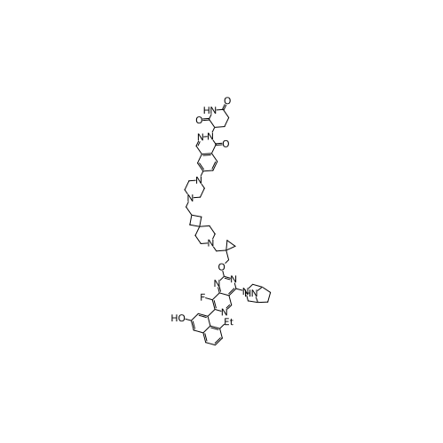 CCc1cccc2cc(O)cc(-c3ncc4c(N5CC6CCC(C5)N6)nc(OCC5(CN6CCC7(CC6)CC(CN6CCN(c8ccc9c(=O)n(C%10CCC(=O)NC%10=O)ncc9c8)CC6)C7)CC5)nc4c3F)c12